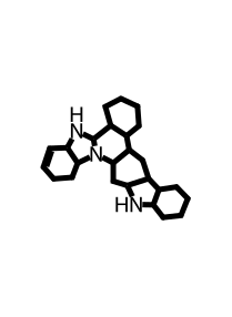 C1=CC2NC3C4CCCCC4C4CC5C(CC4N3C2CC1)NC1CCCCC15